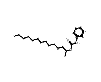 CCCCCCCCCCCCC(C)OC(=O)Nc1ccccc1